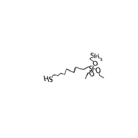 CCO[Si](CCCCCCCCCS)(OCC)OC[SiH3]